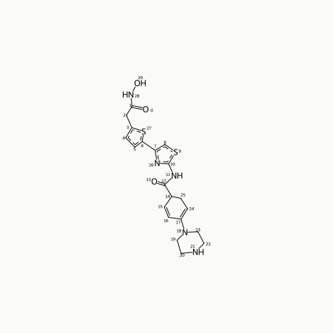 O=C(Cc1ccc(-c2csc(NC(=O)C3C=CC(N4CCNCC4)=CC3)n2)s1)NO